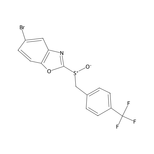 [O-][S+](Cc1ccc(C(F)(F)F)cc1)c1nc2cc(Br)ccc2o1